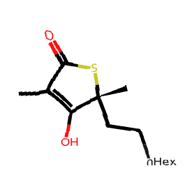 CCCCCCCC[C@@]1(C)SC(=O)C(C)=C1O